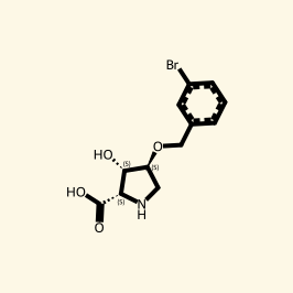 O=C(O)[C@H]1NC[C@H](OCc2cccc(Br)c2)[C@H]1O